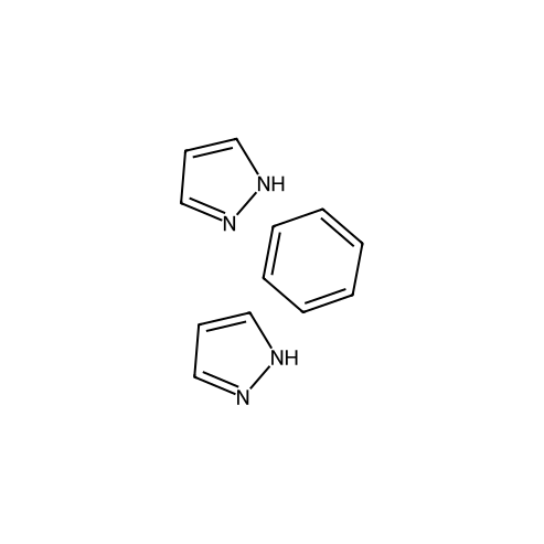 c1ccccc1.c1cn[nH]c1.c1cn[nH]c1